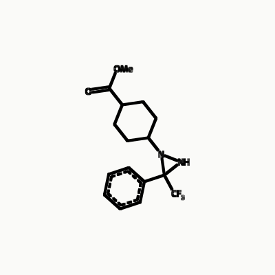 COC(=O)C1CCC(N2NC2(c2ccccc2)C(F)(F)F)CC1